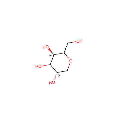 OCC1OC[C@H](O)C(O)[C@H]1O